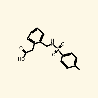 Cc1ccc(S(=O)(=O)NCc2ccccc2CC(=O)O)cc1